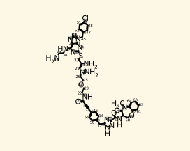 CN1C(=O)[C@@H](NC(=O)c2n[nH]c(Cc3ccc(C#CC(=O)NCCOCCN(N)/C=C(\N)CSc4nc(NCCN)c5nnn(Cc6ccc(Cl)cc6)c5n4)cc3)n2)COc2ccccc21